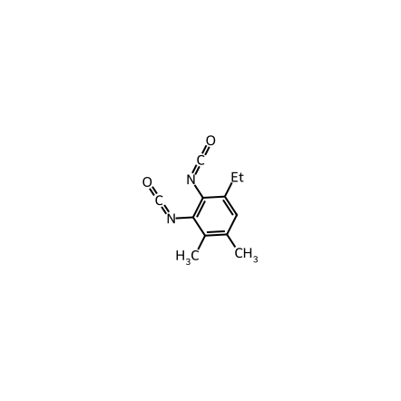 CCc1cc(C)c(C)c(N=C=O)c1N=C=O